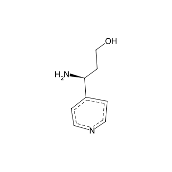 N[C@@H](CCO)c1ccncc1